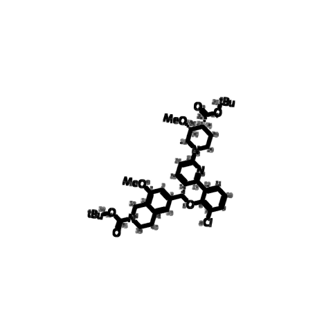 COc1cc(COc2c(Cl)cccc2-c2cccc(N3CC[C@@H](C(=O)OC(C)(C)C)[C@@H](OC)C3)n2)cc2c1CN(C(=O)OC(C)(C)C)CC2